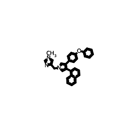 Cn1cnc(Cn2cc(-c3ccc(Oc4ccccc4)cc3)c(-c3cccc4ccccc34)c2)c1